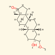 COC[C@@]1(O)CC[C@@H]2C3CC[C@]4(C)C(=O)CC[C@H]4[C@@H]3CC[C@@H]2C1